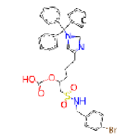 O=C(O)OC(CCCc1cn(C(c2ccccc2)(c2ccccc2)c2ccccc2)cn1)CS(=O)(=O)NCc1ccc(Br)cc1